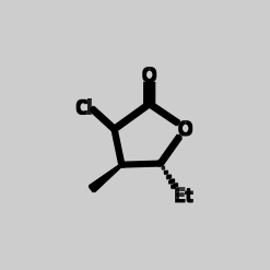 CC[C@H]1OC(=O)C(Cl)[C@@H]1C